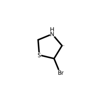 BrC1[CH]NCS1